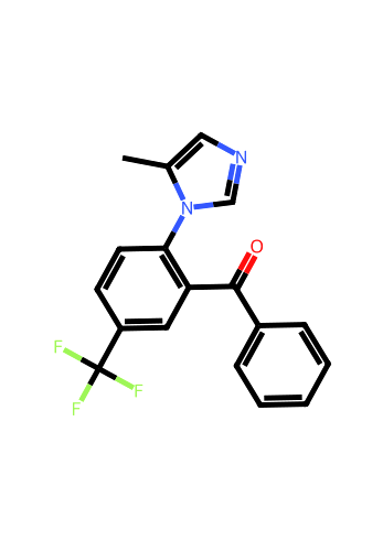 Cc1cncn1-c1ccc(C(F)(F)F)cc1C(=O)c1ccccc1